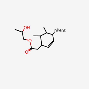 CCCCCC1C=CC(CC(=O)OCC(C)O)C(C)C1C